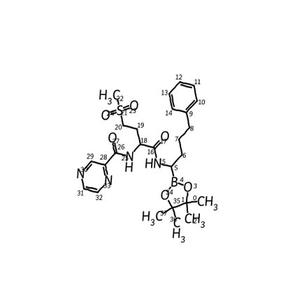 CC1(C)OB(C(CCCc2ccccc2)NC(=O)C(CCS(C)(=O)=O)NC(=O)c2cnccn2)OC1(C)C